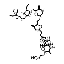 C=C1C[C@H](CC[C@@]23C[C@H]4O[C@H]5[C@@H](O2)C(C)[C@H](CCCO)O[C@H]5C4O3)OC1CC[C@H]1C[C@@H](C)C(=C)C(C[C@@H]2O[C@H](C[C@H](C)CO[Si](CC)(CC)CC)[C@H](C)C2CC)O1